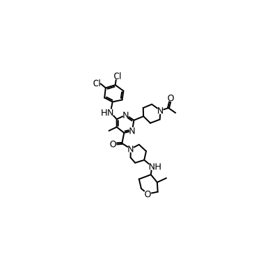 CC(=O)N1CCC(c2nc(Nc3ccc(Cl)c(Cl)c3)c(C)c(C(=O)N3CCC(NC4CCOCC4C)CC3)n2)CC1